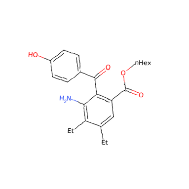 CCCCCCOC(=O)c1cc(CC)c(CC)c(N)c1C(=O)c1ccc(O)cc1